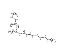 CCCCCCCCOCC(C)OC(=O)CCC